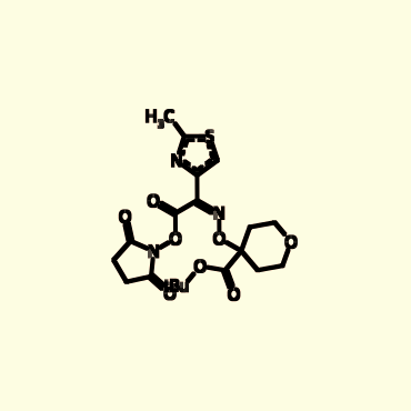 Cc1nc(/C(=N/OC2(C(=O)OC(C)(C)C)CCOCC2)C(=O)ON2C(=O)CCC2=O)cs1